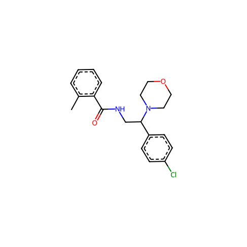 Cc1ccccc1C(=O)NCC(c1ccc(Cl)cc1)N1CCOCC1